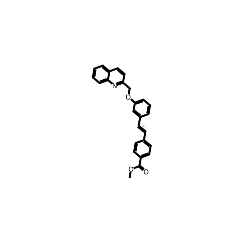 COC(=O)c1ccc(/C=C/c2cccc(OCc3ccc4ccccc4n3)c2)cc1